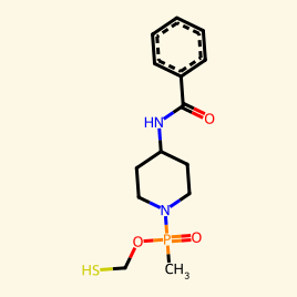 CP(=O)(OCS)N1CCC(NC(=O)c2ccccc2)CC1